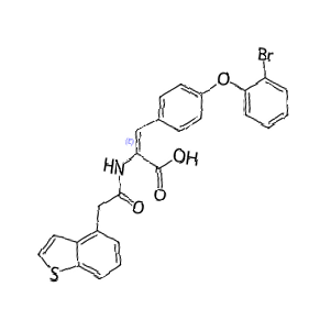 O=C(Cc1cccc2sccc12)N/C(=C/c1ccc(Oc2ccccc2Br)cc1)C(=O)O